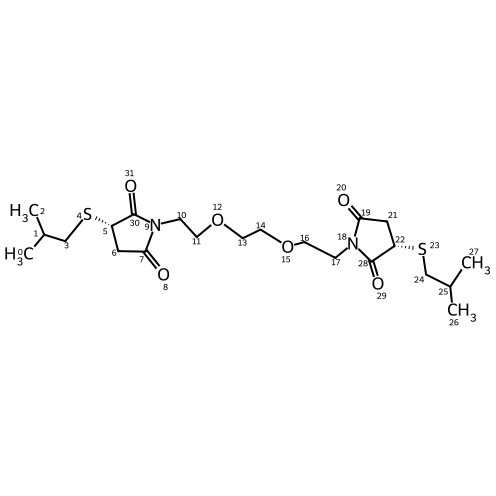 CC(C)CS[C@H]1CC(=O)N(CCOCCOCCN2C(=O)C[C@H](SCC(C)C)C2=O)C1=O